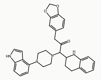 O=C(Cc1ccc2c(c1)OCO2)C(C1CCc2ccccc2N1)N1CCN(c2cccc3[nH]ccc23)CC1